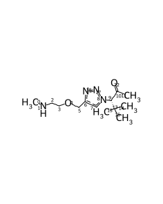 CNCCOCc1cn([C@H](C(C)=O)C(C)(C)C)nn1